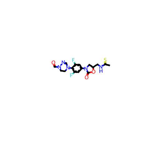 CC(=S)NCC1CN(c2cc(F)c(N3C=NN(C=O)CC3)c(F)c2)C(=O)O1